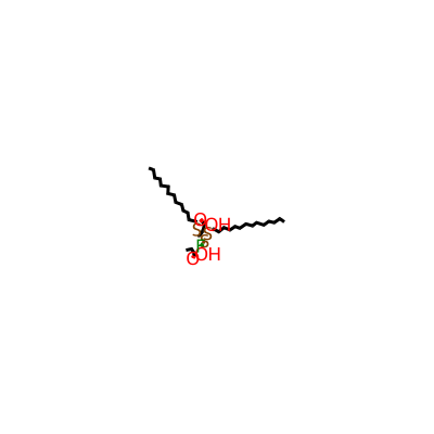 CCC(=O)O.CCCCCCCCCCCCCCSC(CSF)(SCCCCCCCCCCCCCC)C(=O)O